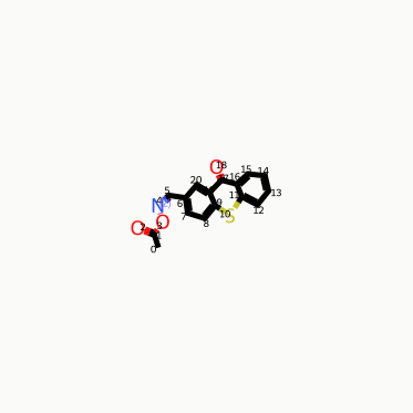 CC(=O)O/N=C\c1ccc2sc3ccccc3c(=O)c2c1